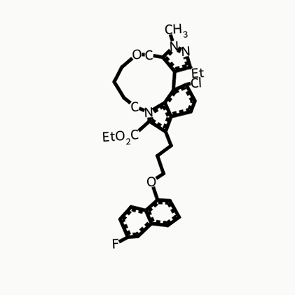 CCOC(=O)c1c(CCCOc2cccc3cc(F)ccc23)c2ccc(Cl)c3c2n1CCCCOCc1c-3c(CC)nn1C